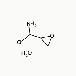 NC(Cl)C1CO1.O